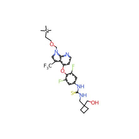 C[Si](C)(C)CCOCn1cc(C(F)(F)F)c2c(Oc3c(F)cc(NC(=S)NCC4(CO)CCC4)cc3F)ccnc21